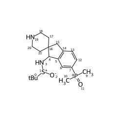 CC(C)(C)[S+]([O-])NC1c2cc(P(C)(C)=O)ccc2CC12CCNCC2